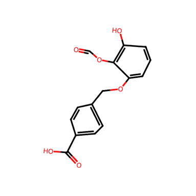 O=COc1c(O)cccc1OCc1ccc(C(=O)O)cc1